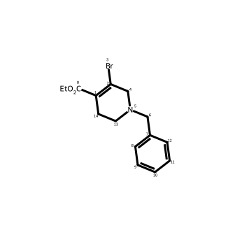 CCOC(=O)C1=C(Br)CN(Cc2ccccc2)CC1